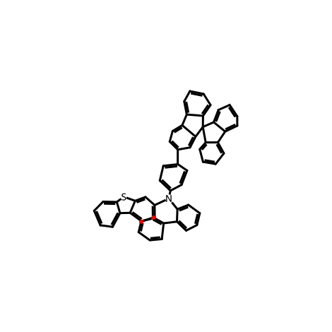 c1ccc(-c2ccccc2N(c2ccc(-c3ccc4c(c3)C3(c5ccccc5-c5ccccc53)c3ccccc3-4)cc2)c2ccc3c(c2)sc2ccccc23)cc1